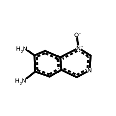 Nc1cc2cnc[n+]([O-])c2cc1N